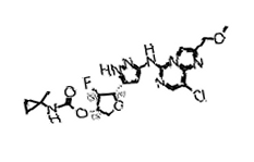 COCc1cn2c(Nc3cc([C@@H]4OC[C@H](OC(=O)NC5(C)CC5)[C@H]4F)[nH]n3)ncc(Cl)c2n1